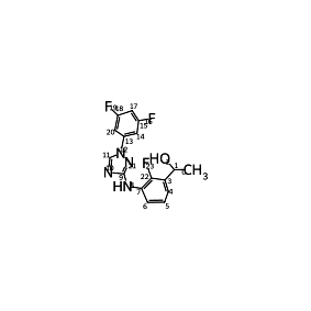 CC(O)c1cccc(Nc2ncn(-c3cc(F)cc(F)c3)n2)c1F